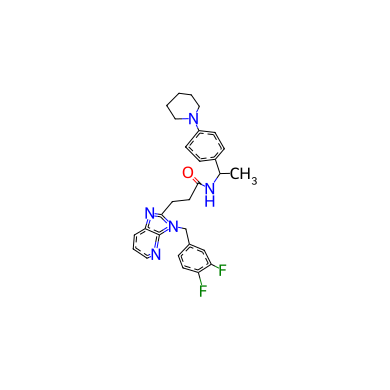 CC(NC(=O)CCc1nc2cccnc2n1Cc1ccc(F)c(F)c1)c1ccc(N2CCCCC2)cc1